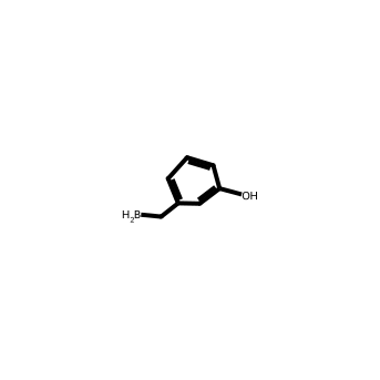 BCc1cccc(O)c1